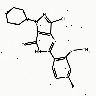 COc1cc(Br)ccc1-c1nc2c(C)nn(C3CCCCC3)c2c(=O)[nH]1